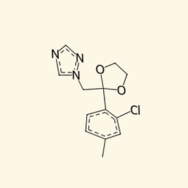 Cc1ccc(C2(Cn3cncn3)OCCO2)c(Cl)c1